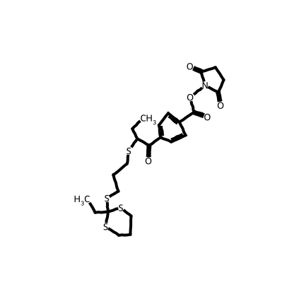 CCC(SCCCSC1(CC)SCCCS1)C(=O)c1ccc(C(=O)ON2C(=O)CCC2=O)cc1